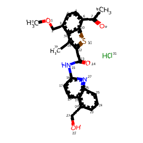 COCc1ccc(C(C)=O)c2sc(C(=O)Nc3ccc4c(CO)cccc4n3)c(C)c12.Cl